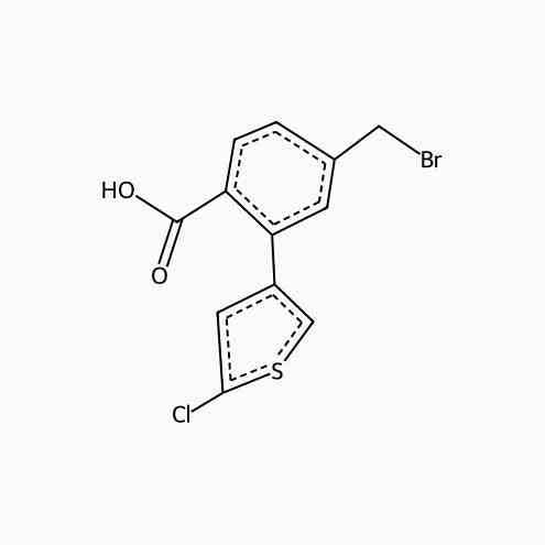 O=C(O)c1ccc(CBr)cc1-c1csc(Cl)c1